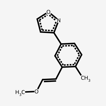 COC=Cc1cc(-c2ccon2)ccc1C